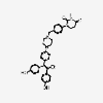 CCC(=C(c1ccc(O)cc1)c1ccc(N2CCN(Cc3ccc(N4CCC(=O)NC4=O)cc3)CC2)cc1)c1ccc(O)cc1